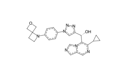 O[C@@H](c1cn(-c2ccc(N3CCC34COC4)cc2)nn1)c1c(C2CC2)ncc2cncn12